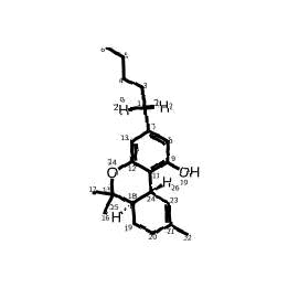 [2H]C([2H])(CCCC)c1cc(O)c2c(c1)OC(C)(C)[C@@H]1CCC(C)=C[C@@H]21